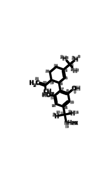 [2H]C([2H])([2H])C1=CC(c2c(O)cc(C([2H])([2H])CCCCCC)cc2O)C(C(=C)C)CC1